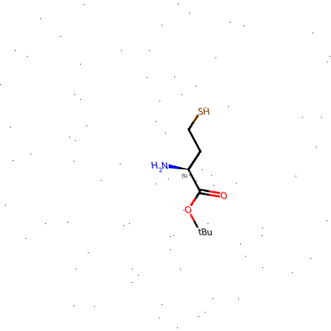 CC(C)(C)OC(=O)[C@@H](N)CCS